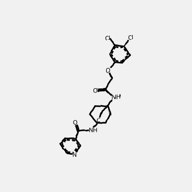 O=C(COc1ccc(Cl)c(Cl)c1)NC12CCC(NC(=O)c3cccnc3)(CC1)CC2